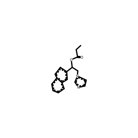 CCC(=O)OC(Cn1ccnc1)c1ccc2ccccc2c1